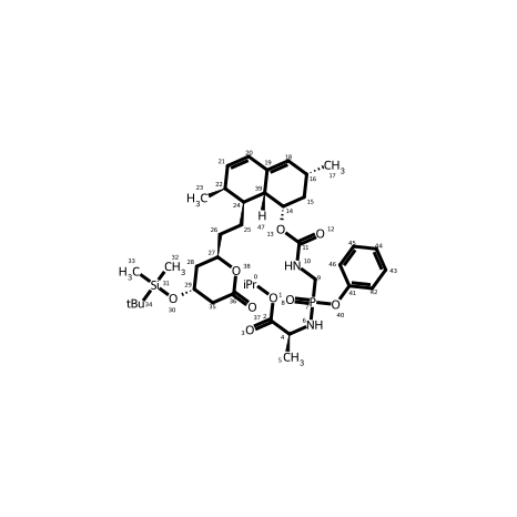 CC(C)OC(=O)[C@H](C)NP(=O)(CNC(=O)O[C@H]1C[C@@H](C)C=C2C=C[C@H](C)[C@H](CC[C@@H]3C[C@@H](O[Si](C)(C)C(C)(C)C)CC(=O)O3)[C@H]21)Oc1ccccc1